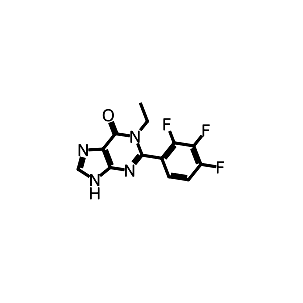 CCn1c(-c2ccc(F)c(F)c2F)nc2[nH]cnc2c1=O